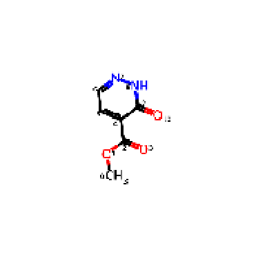 COC(=O)c1ccn[nH]c1=O